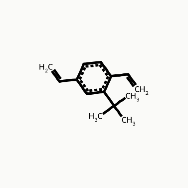 C=Cc1ccc(C=C)c(C(C)(C)C)c1